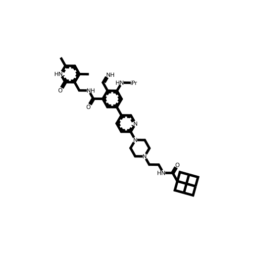 Cc1cc(C)c(CNC(=O)c2cc(-c3ccc(N4CCN(CCNC(=O)C56CC7CC8CC(C5)C876)CC4)nc3)cc(NC(C)C)c2C=N)c(=O)[nH]1